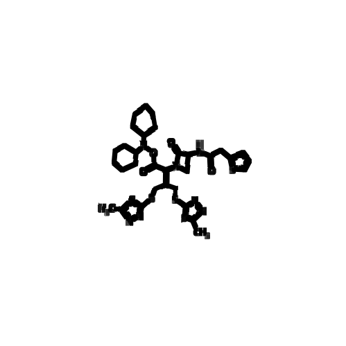 Cc1nnc(SCC(CSc2nnc(C)s2)=C(C(=O)ON(C2CCCCC2)C2CCCCC2)N2CC(NC(=O)Cc3cccs3)C2=O)s1